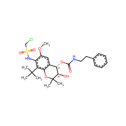 COc1cc2c(c(C(C)(C)C)c1NS(=O)(=O)CCl)OC(C)(C)[C@H](O)[C@H]2OC(=O)NCCc1ccccc1